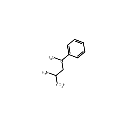 CN(CC(N)C(=O)O)c1ccccc1